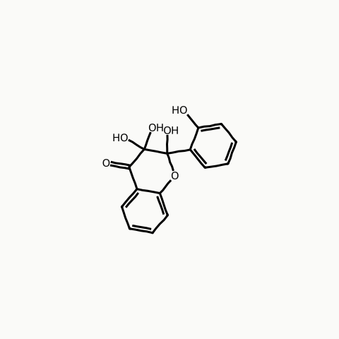 O=C1c2ccccc2OC(O)(c2ccccc2O)C1(O)O